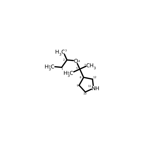 CCC(C)OC(C)(C)C1CCNC1